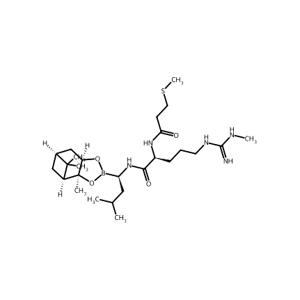 CNC(=N)NCCC[C@H](NC(=O)CCSC)C(=O)N[C@@H](CC(C)C)B1O[C@@H]2C[C@@H]3C[C@@H](C3(C)C)[C@]2(C)O1